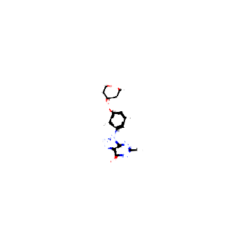 CCc1nc2c(nnn2-c2cccc(OC3CCOCC3)c2)c(=O)[nH]1